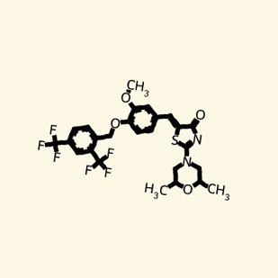 COc1cc(/C=C2\SC(N3CC(C)OC(C)C3)=NC2=O)ccc1OCc1ccc(C(F)(F)F)cc1C(F)(F)F